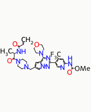 C=CC(=O)N[C@H](C)C(=O)N1CCN(Cc2cc3c(N4CCOCC4)nc(-c4cnc(NC(=O)OC)cc4C(F)(F)F)nn3c2)CC1